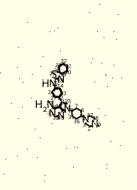 CN1CCN([C@H]2CC[C@H](n3cc(-c4ccc(Nc5nc6ccccc6s5)cc4)c4c(N)ncnc43)CC2)CC1